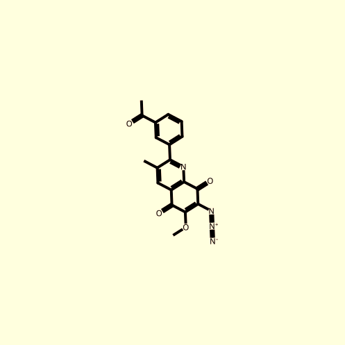 COC1=C(N=[N+]=[N-])C(=O)c2nc(-c3cccc(C(C)=O)c3)c(C)cc2C1=O